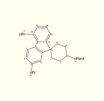 CCCCCC1CCC(c2cccc(CCC)c2)(c2cccc(CCC)c2)CC1